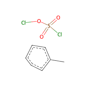 Cc1ccccc1.O=S(=O)(Cl)OCl